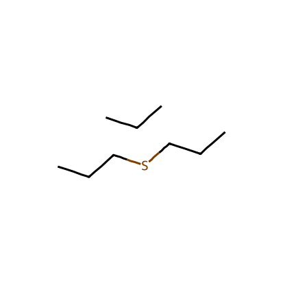 CCC.CCCSCCC